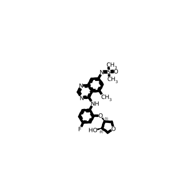 Cc1cc(N=S(C)(C)=O)cc2ncnc(Nc3ccc(F)cc3O[C@H]3COC[C@H]3O)c12